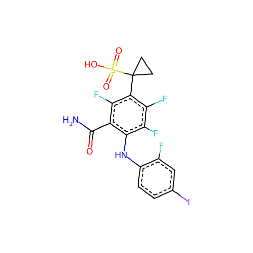 NC(=O)c1c(F)c(C2(S(=O)(=O)O)CC2)c(F)c(F)c1Nc1ccc(I)cc1F